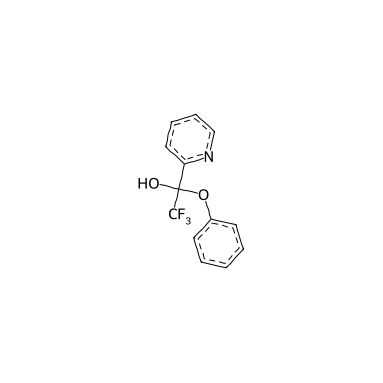 OC(Oc1ccccc1)(c1ccccn1)C(F)(F)F